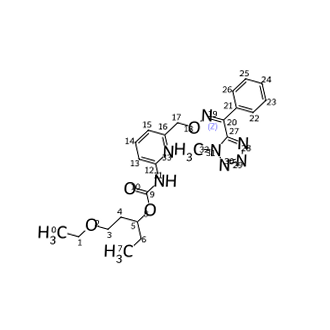 CCOCCC(CC)OC(=O)Nc1cccc(CO/N=C(/c2ccccc2)c2nnnn2C)n1